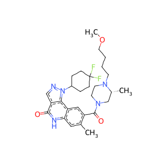 COCCCCN1CCN(C(=O)c2cc3c(cc2C)[nH]c(=O)c2cnn(C4CCC(F)(F)CC4)c23)C[C@H]1C